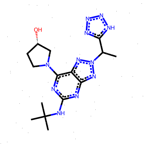 CC(c1nnn[nH]1)n1nc2nc(NC(C)(C)C)nc(N3CC[C@H](O)C3)c2n1